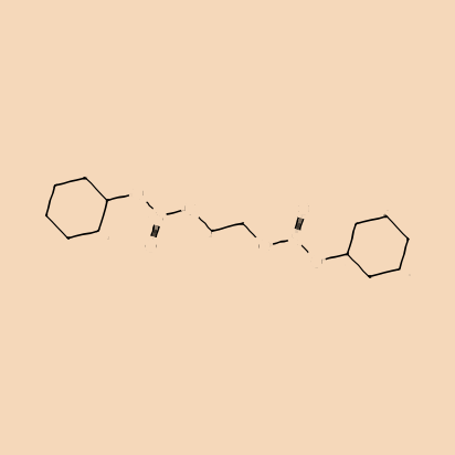 O=S(OCCOS(=O)OC1CCCCC1)OC1CCCCC1